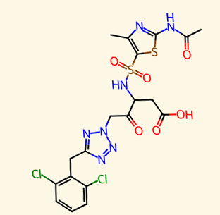 CC(=O)Nc1nc(C)c(S(=O)(=O)NC(CC(=O)O)C(=O)Cn2nnc(Cc3c(Cl)cccc3Cl)n2)s1